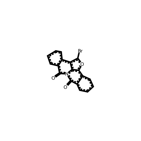 O=c1c2ccccc2c2oc(Br)c3c4ccccc4c(=O)n1c23